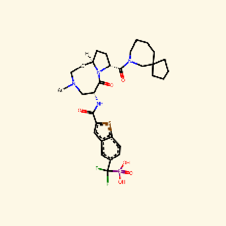 CC(=O)N1CC[C@H]2CC[C@H](C(=O)N3CCCCC4(CCCC4)C3)N2C(=O)[C@H](NC(=O)c2cc3cc(C(F)(F)P(=O)(O)O)ccc3s2)C1